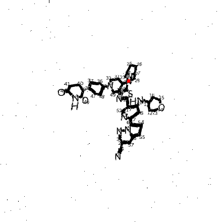 N#Cc1cnn2c(-c3cc(NC4CCOCC4)c(-c4nnc(N5CC6CCC(C5)N6CC5CCN(c6ccc([C@H]7CCC(=O)NC7=O)cc6)CC5)s4)cn3)ccc2c1